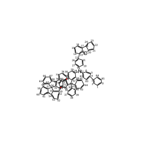 c1ccc(-c2ccc(N(c3ccc(-c4cccc5c4oc4ccccc45)cc3)c3ccc4c(c3)C(c3ccccc3)(c3ccccc3)c3cc(-c5cccc6c5C5(c7ccccc7-6)c6ccccc6-c6c5ccc5ccccc65)ccc3-4)cc2)cc1